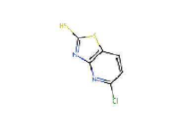 Sc1nc2nc(Cl)ccc2s1